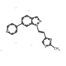 Cc1nc(C=Cn2ncc3ccc(-c4ccncc4)cc32)cs1